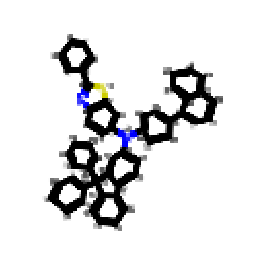 c1ccc(-c2nc3ccc(N(c4ccc(-c5cccc6ccccc56)cc4)c4ccc5c(c4)C(c4ccccc4)(c4ccccc4)c4ccccc4-5)cc3s2)cc1